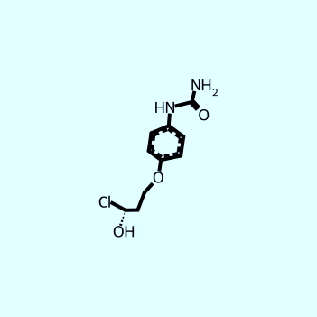 NC(=O)Nc1ccc(OCC[C@H](O)Cl)cc1